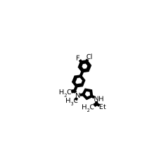 C=C(CC)NC1CCC(N(C)C(=C)C2=CCC(c3ccc(Cl)c(F)c3)C=C2)C1